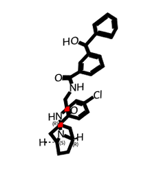 O=C(CNC(=O)c1cccc(C(O)c2ccccc2)c1)N[C@H]1C[C@H]2CC[C@@H](C1)N2Cc1ccc(Cl)cc1